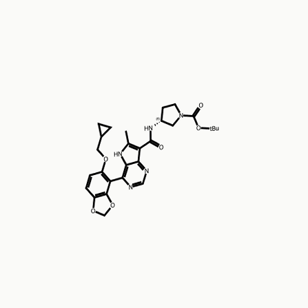 Cc1[nH]c2c(-c3c(OCC4CC4)ccc4c3OCO4)ncnc2c1C(=O)N[C@@H]1CCN(C(=O)OC(C)(C)C)C1